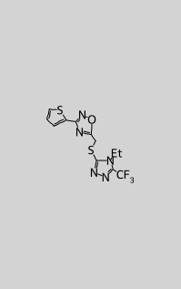 CCn1c(SCc2nc(-c3cccs3)no2)nnc1C(F)(F)F